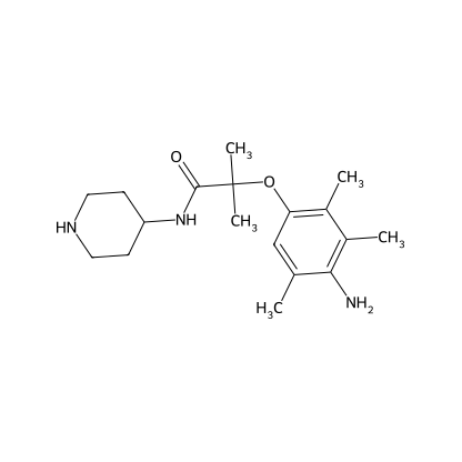 Cc1cc(OC(C)(C)C(=O)NC2CCNCC2)c(C)c(C)c1N